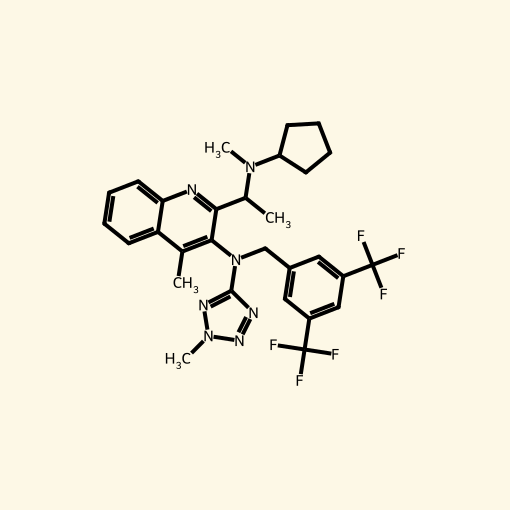 Cc1c(N(Cc2cc(C(F)(F)F)cc(C(F)(F)F)c2)c2nnn(C)n2)c(C(C)N(C)C2CCCC2)nc2ccccc12